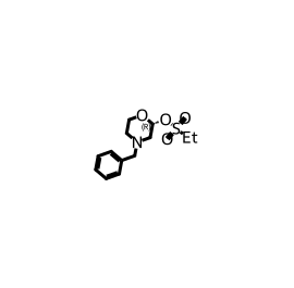 CCS(=O)(=O)O[C@@H]1CN(Cc2ccccc2)CCO1